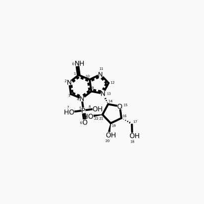 N=c1ncn(P(=O)(O)O)c2c1ncn2[C@@H]1O[C@H](CO)[C@@H](O)[C@H]1O